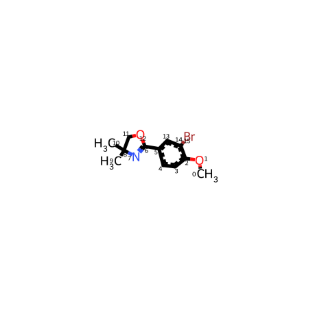 COc1ccc(C2=NC(C)(C)CO2)cc1Br